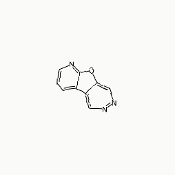 c1cnc2oc3cnncc3c2c1